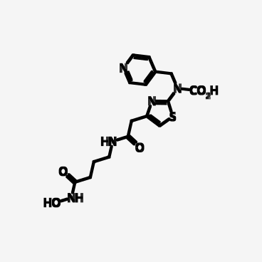 O=C(CCCNC(=O)Cc1csc(N(Cc2ccncc2)C(=O)O)n1)NO